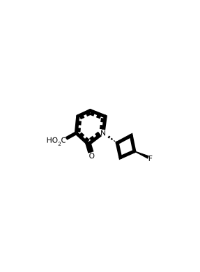 O=C(O)c1cccn([C@H]2C[C@H](F)C2)c1=O